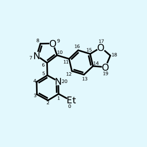 CCc1cccc(-c2ncoc2-c2ccc3c(c2)OCO3)n1